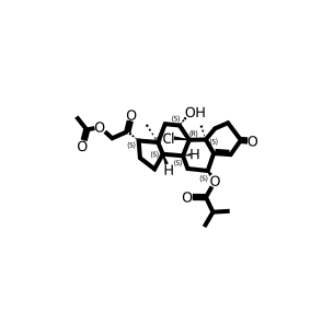 CC(=O)OCC(=O)[C@H]1CC[C@H]2[C@@H]3C[C@H](OC(=O)C(C)C)C4=CC(=O)CC[C@]4(C)[C@@]3(Cl)[C@@H](O)C[C@]12C